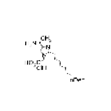 CCCCCCCCCCCCCCCC=CC1=NC(C(C)N)CN1CC(=O)O.Cl